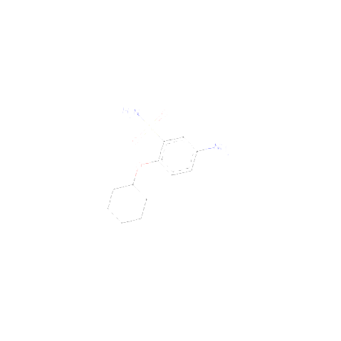 Nc1ccc(OC2CCCCC2)c(S(N)(=O)=O)c1